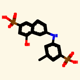 Cc1cc(Nc2ccc3cc(S(=O)(=O)O)cc(O)c3c2)cc(S(=O)(=O)O)c1